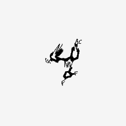 CC(=O)N1CCc2c(c(-c3cncc(Br)c3)nn2Cc2ccc(F)cc2F)C1